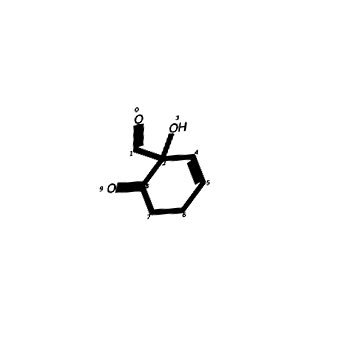 O=CC1(O)C=CCCC1=O